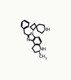 C[C@H]1CCc2c(ccc3c2nc(Cc2ccccc2)n3[C@@H]2CCC23CCNCC3)N1